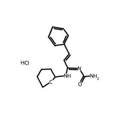 Cl.NC(=O)N=C(C=Cc1ccccc1)NC1CCCCC1